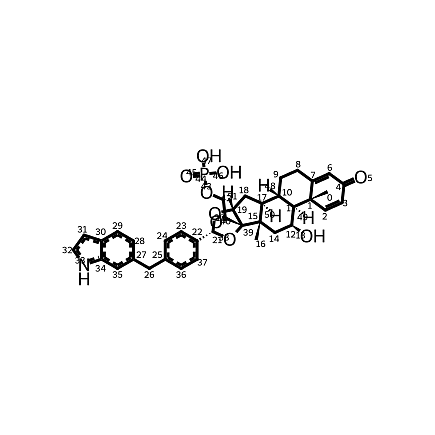 C[C@]12C=CC(=O)C=C1CC[C@@H]1[C@@H]2[C@@H](O)C[C@@]2(C)[C@H]1C[C@H]1O[C@@H](c3ccc(Cc4ccc5cc[nH]c5c4)cc3)O[C@]12C(=O)COP(=O)(O)O